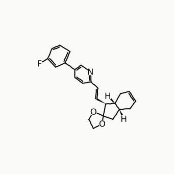 Fc1cccc(-c2ccc(/C=C/[C@H]3[C@@H]4CC=CC[C@@H]4CC34OCCO4)nc2)c1